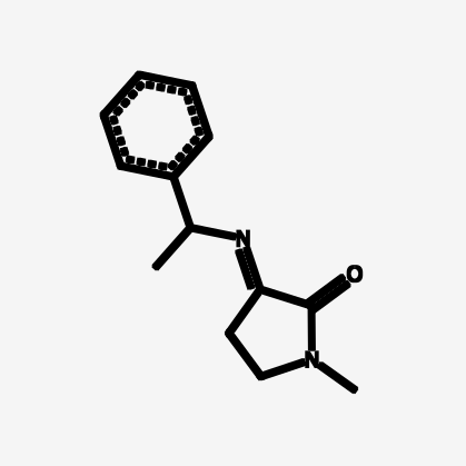 CC(/N=C1\CCN(C)C1=O)c1ccccc1